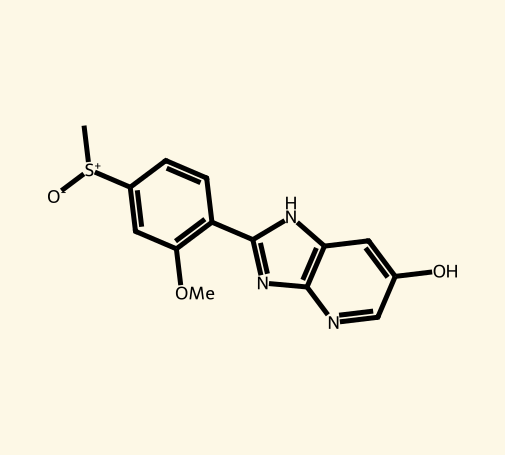 COc1cc([S+](C)[O-])ccc1-c1nc2ncc(O)cc2[nH]1